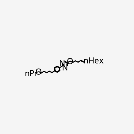 CCCCCCC=CCCCOc1cnc(-c2ccc(CCCCCOCCC)cc2)nc1